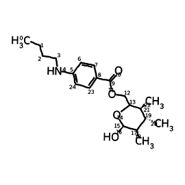 CCCCNc1ccc(C(=O)OCC2O[C@H](O)C(C)[C@@H](C)[C@@H]2C)cc1